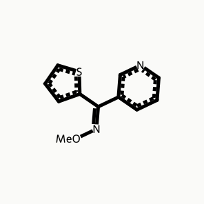 CON=C(c1cccnc1)c1cccs1